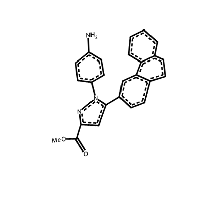 COC(=O)c1cc(-c2ccc3ccc4ccccc4c3c2)n(-c2ccc(N)cc2)n1